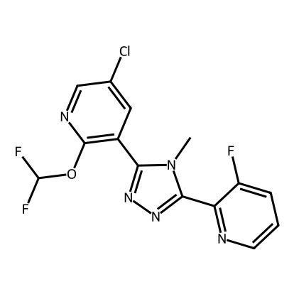 Cn1c(-c2cc(Cl)cnc2OC(F)F)nnc1-c1ncccc1F